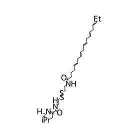 CCC=CCC=CCC=CCC=CCC=CCCCC(=O)NCCSSCCNC(=O)[C@@H](N)CC(C)C